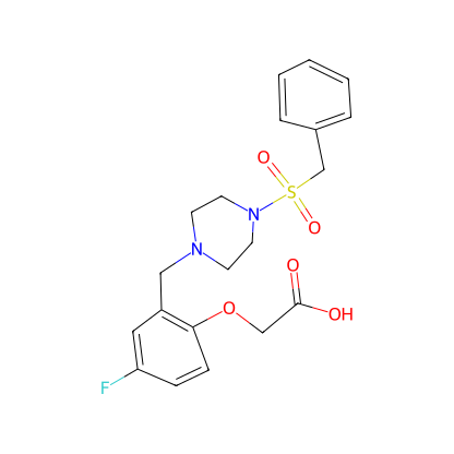 O=C(O)COc1ccc(F)cc1CN1CCN(S(=O)(=O)Cc2ccccc2)CC1